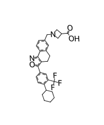 O=C(O)C1CN(Cc2ccc3c(c2)CCc2c-3noc2-c2ccc(C3CCCCC3)c(C(F)(F)F)c2)C1